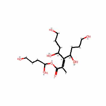 CC(C(=O)OC(O)CCCO)=C(C(O)CCCO)C(O)CCCO